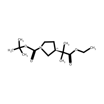 CCOC(=O)C(C)(C)[C@@H]1CCN(C(=O)OC(C)(C)C)C1